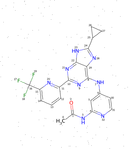 CC(=O)Nc1cc(Nc2nc(-c3cccc(C(F)(F)F)n3)nc3[nH]c(C4CC4)nc23)ccn1